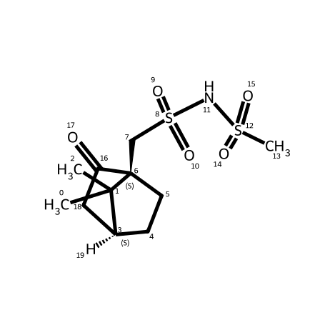 CC1(C)[C@H]2CC[C@@]1(CS(=O)(=O)NS(C)(=O)=O)C(=O)C2